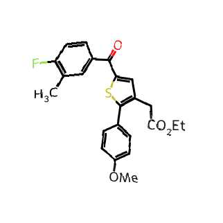 CCOC(=O)Cc1cc(C(=O)c2ccc(F)c(C)c2)sc1-c1ccc(OC)cc1